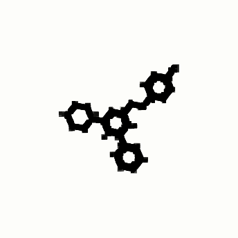 Clc1ccc(SCc2cc(N3CCOCC3)nc(-c3ccccc3)n2)cc1